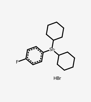 Br.Fc1cc[c]([Sn]([CH]2CCCCC2)[CH]2CCCCC2)cc1